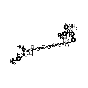 Cc1ncsc1-c1ccc(CNC(=O)[C@@H]2C[C@@H](O)CN2C(=O)CNC(=O)CCOCCOCCOCCOCCOCCNC(=O)CCc2cccc(-c3ccc4nc(-c5cccnc5N)n(-c5ccc(C6(N)CCC6)cc5)c4n3)c2)cc1